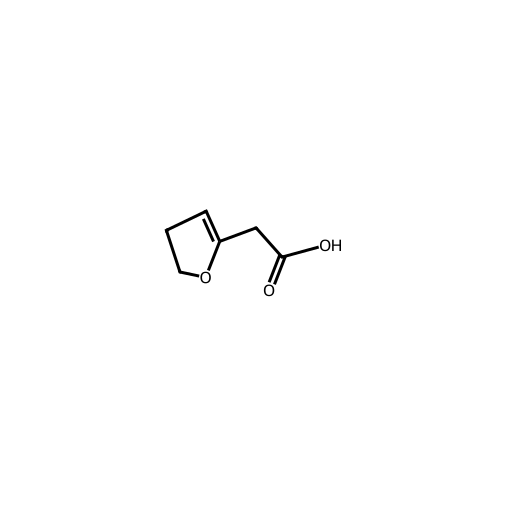 O=C(O)CC1=CCCO1